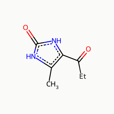 CCC(=O)c1[nH]c(=O)[nH]c1C